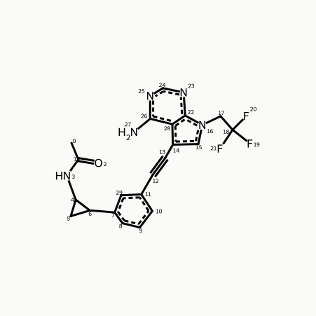 CC(=O)NC1CC1c1cccc(C#Cc2cn(CC(F)(F)F)c3ncnc(N)c23)c1